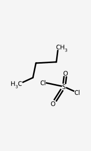 CCCCC.O=S(=O)(Cl)Cl